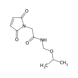 CC(C)OCNC(=O)CN1C(=O)C=CC1=O